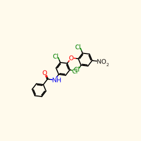 O=C(Nc1cc(Cl)c(Oc2c(Cl)cc([N+](=O)[O-])cc2Cl)c(Cl)c1)c1ccccc1